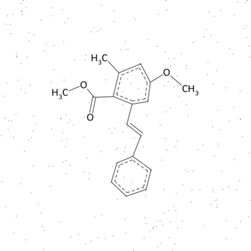 COC(=O)c1c(C)cc(OC)cc1/C=C/c1ccccc1